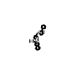 c1ccc(C2CN(Cc3ccc(Nc4cc5ccccc5cn4)nc3)CCO2)cc1